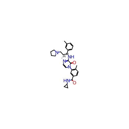 Cc1cccc([C@H](Nc2nccn(-c3cc(C(=O)NC4CC4)ccc3C)c2=O)[C@H](C)CN2CCCC2)c1